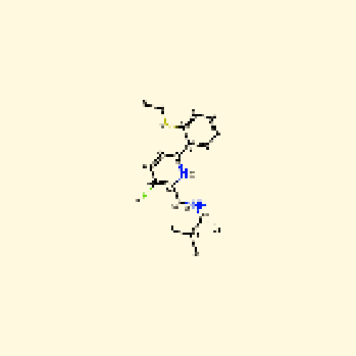 CCSc1ccccc1-c1ccc(F)c(CN[C@H](C)C(C)C)n1